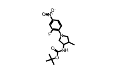 CC1CN(c2ccc([N+](=O)[O-])cc2F)CC1NC(=O)OC(C)(C)C